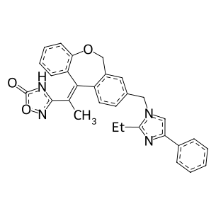 CCc1nc(-c2ccccc2)cn1Cc1ccc2c(c1)COc1ccccc1/C2=C(/C)c1noc(=O)[nH]1